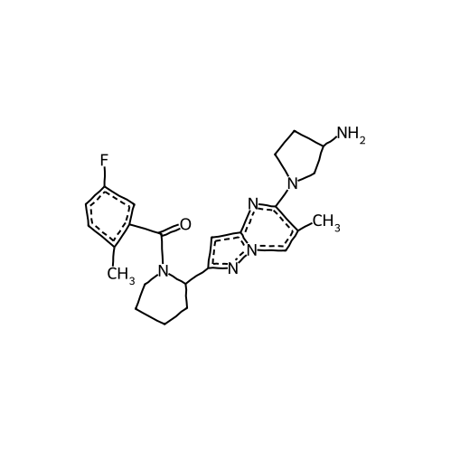 Cc1ccc(F)cc1C(=O)N1CCCCC1c1cc2nc(N3CCC(N)C3)c(C)cn2n1